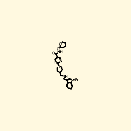 CC(C)n1cc(CNCC2CCN(c3ncc(C(=O)NOC4CCCCO4)cn3)CC2)c2ccccc21